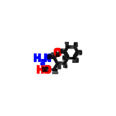 NC(=O)C(=Cc1ccccc1)CO